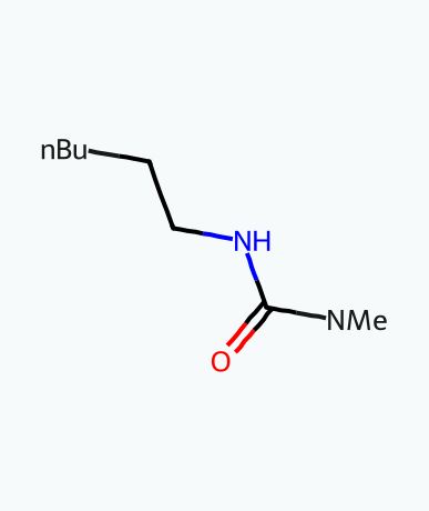 CCCCCCNC(=O)NC